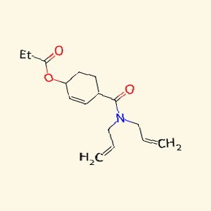 C=CCN(CC=C)C(=O)C1C=CC(OC(=O)CC)CC1